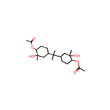 CC(=O)OC1CCC(C(C)(C)C2CCC(OC(C)=O)C(C)(O)C2)CC1(C)O